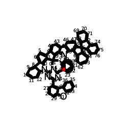 CC1(C)c2c(ccc3c4ccccc4n(-c4nc(-c5ccccc5)nc(-c5cccc6oc7ccccc7c56)n4)c23)-c2ccc3c4ccc5c(c4n(-c4ccccc4)c3c21)-c1ccccc1C51c2ccccc2-c2ccccc21